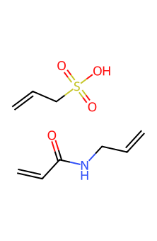 C=CCNC(=O)C=C.C=CCS(=O)(=O)O